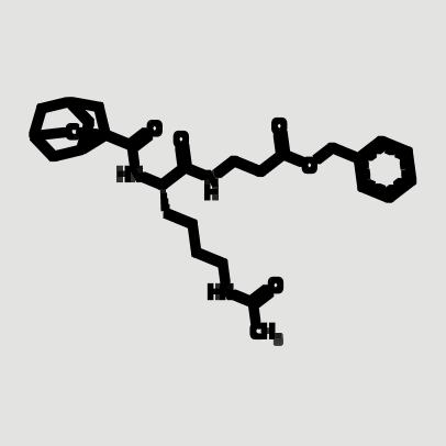 CC(=O)NCCCC[C@H](NC(=O)C12CC3CC(CC1C3)C2)C(=O)NCCC(=O)OCc1ccccc1